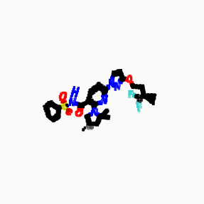 C[C@@H]1CN(c2nc(-n3ccc(OCCC4(B(F)F)CC4)n3)ccc2C(=O)NS(=O)(=O)c2ccccc2)C(C)(C)C1